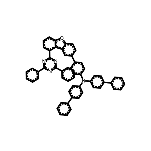 c1ccc(-c2ccc(N(c3ccc(-c4ccccc4)cc3)c3ccc(-c4ccc5oc6cccc(-c7nc(-c8ccccc8)nc(-c8ccccc8)n7)c6c5c4)cc3)cc2)cc1